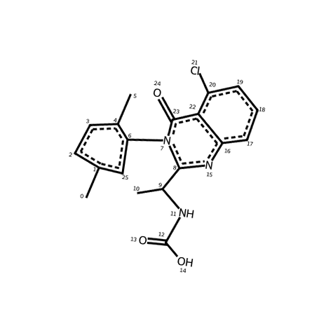 Cc1ccc(C)c(-n2c(C(C)NC(=O)O)nc3cccc(Cl)c3c2=O)c1